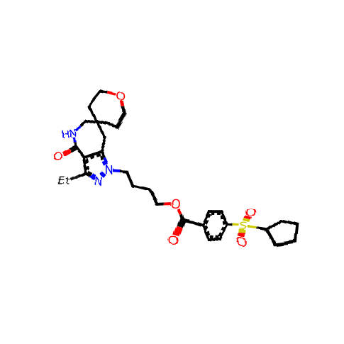 CCc1nn(CCCCOC(=O)c2ccc(S(=O)(=O)C3CCCC3)cc2)c2c1C(=O)NCC1(CCOCC1)C2